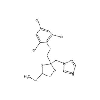 CCC1CSC(CCc2c(Cl)cc(Cl)cc2Cl)(Cn2ccnc2)S1